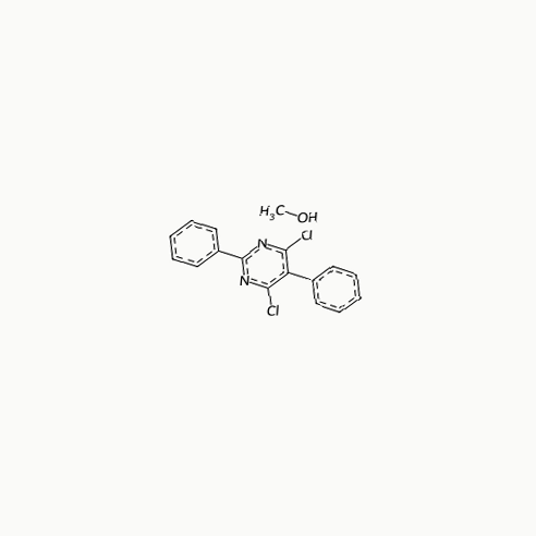 CO.Clc1nc(-c2ccccc2)nc(Cl)c1-c1ccccc1